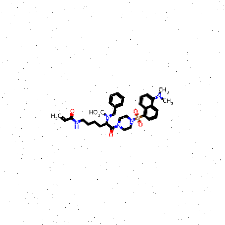 C=CC(=O)NCCCCC(C(=O)N1CCN(S(=O)(=O)c2cccc3c(N(C)C)cccc23)CC1)N(Cc1ccccc1)C(=O)O